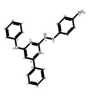 O=[N+]([O-])c1ccc(SNc2nc(Oc3ccccc3)cc(-c3ccccc3)n2)cc1